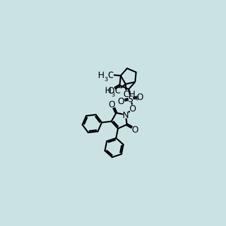 CC12CCC(C(S(=O)(=O)ON3C(=O)C(c4ccccc4)=C(c4ccccc4)C3=O)C1=O)C2(C)C